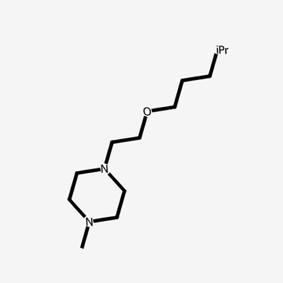 CC(C)CCCOCCN1CCN(C)CC1